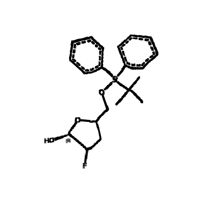 CC(C)(C)[Si](OCC1CC(F)[C@@H](O)O1)(c1ccccc1)c1ccccc1